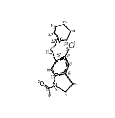 CC(=O)N1CCc2cc(Cl)c(SN3CCCCC3)cc21